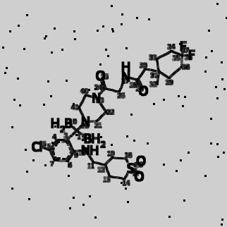 BC(B)(c1cc(Cl)ccc1NCC1CCS(=O)(=O)CC1)N1CCN(C(=O)CNC(=O)CC2(C)CCC(F)(F)CC2)CC1